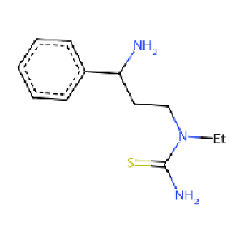 CCN(CCC(N)c1ccccc1)C(N)=S